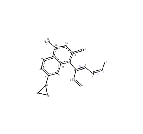 C=N/C(=C\N=C/C)n1c(=O)nc(N)c2ccc(C3CC3)cc21